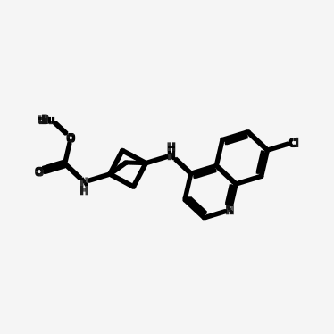 CC(C)(C)OC(=O)NC12CC(Nc3ccnc4cc(Cl)ccc34)(C1)C2